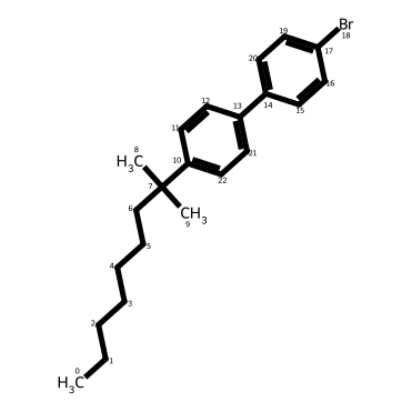 CCCCCCCC(C)(C)c1ccc(-c2ccc(Br)cc2)cc1